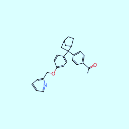 CC(=O)c1ccc(C2(c3ccc(OCc4ccccn4)cc3)CC3CCC2C3)cc1